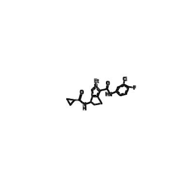 CCn1cc2c(c1C(=O)Nc1ccc(F)c(Cl)c1)CCC2NC(=O)C1CC1